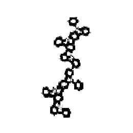 c1ccc(-n2c3cc(-c4cccc5c4c4cccc6c7c8c9ccccc9n9c%10cc%11c(cc%10c(cc7n5c46)c89)c4ccccc4n%11-c4ccccc4)ccc3c3cc4c(cc32)c2cc3c(c5cccc6c7ccccc7n3c65)c3c5ccccc5n4c23)cc1